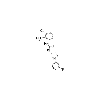 Cc1c(Cl)cccc1NC(=O)N[C@@H]1CCN(c2cccc(F)c2)C1